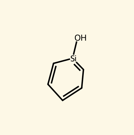 O[si]1ccccc1